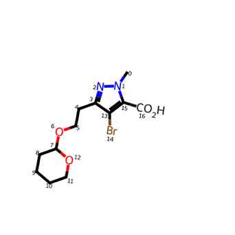 Cn1nc(CCOC2CCCCO2)c(Br)c1C(=O)O